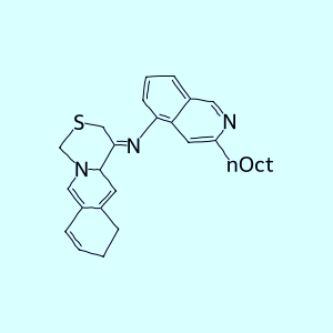 CCCCCCCCc1cc2c(N=C3CSCN4C=C5C=CCCC5=CC34)cccc2cn1